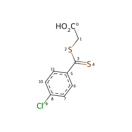 O=C(O)CSC(=S)c1ccc(Cl)cc1